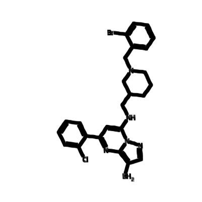 Bc1cnn2c(NCC3CCCN(Cc4ccccc4Br)C3)cc(-c3ccccc3Cl)nc12